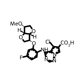 CO[C@@H]1CO[C@H]2[C@@H]1OC[C@H]2Oc1cc(F)ccc1Nc1ncnn2cc(C(=O)O)c(Cl)c12